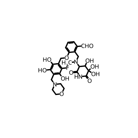 CN(Cc1c(C=O)cccc1OCc1c(O)c(O)c(CN2CCOCC2)c(O)c1F)C1C(=O)NC(=O)C(O)(O)C1O